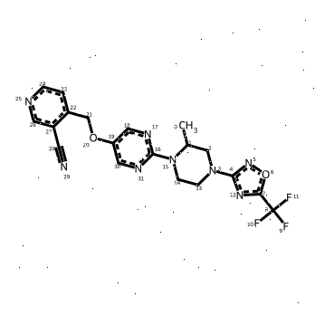 CC1CN(c2noc(C(F)(F)F)n2)CCN1c1ncc(OCc2ccncc2C#N)cn1